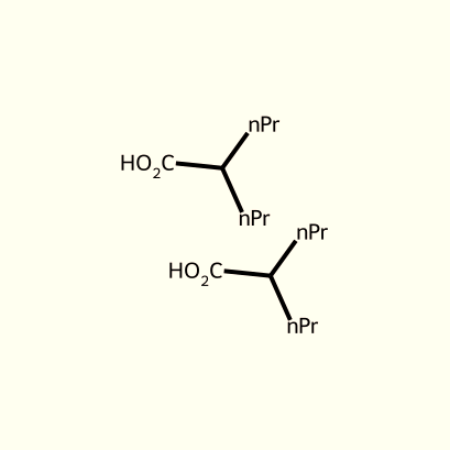 CCCC(CCC)C(=O)O.CCCC(CCC)C(=O)O